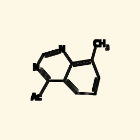 CC(=O)c1ncnc2c(C)cccc12